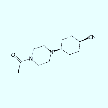 N#C[C@H]1CC[C@@H](N2CCN(C(=O)I)CC2)CC1